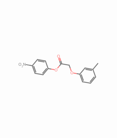 Cc1cccc(OCC(=O)Oc2ccc([N+](=O)[O-])cc2)c1